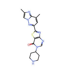 Cc1cn2nc(-c3nc4ncn(C5CCNCC5)c(=O)c4s3)cc(C)c2n1